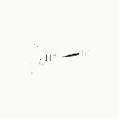 [O-2].[O-2].[Si+4].[Ti+3][BaH]